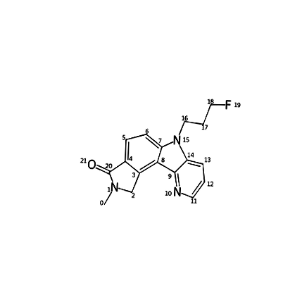 CN1Cc2c(ccc3c2c2ncccc2n3CCCF)C1=O